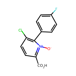 O=C(O)c1ccc(Cl)c(-c2ccc(F)cc2)[n+]1[O-]